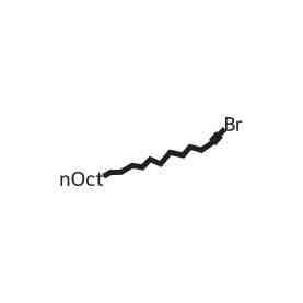 CCCCCCCCCCCCCCCCCCC#CBr